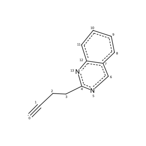 [C]#CCCc1ncc2ccccc2n1